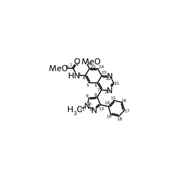 COC(=O)Nc1cc2c(-c3cn(C)nc3-c3ccccc3)ncnc2cc1OC